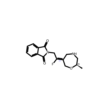 C[C@@H]1CNC/C(=C(/F)CN2C(=O)c3ccccc3C2=O)CO1